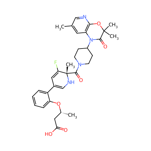 Cc1cnc2c(c1)N(C1CCN(C(=O)[C@]3(C)NC=C(c4ccccc4O[C@H](C)CC(=O)O)C=C3F)CC1)C(=O)C(C)(C)O2